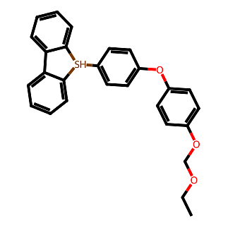 CCOCOc1ccc(Oc2ccc([SH]3c4ccccc4-c4ccccc43)cc2)cc1